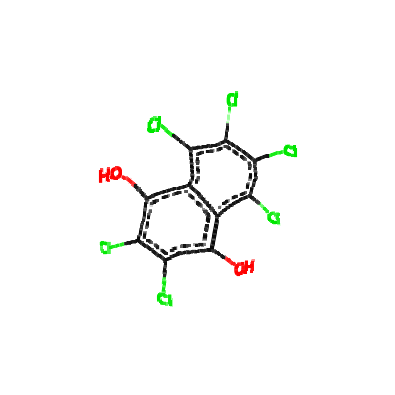 Oc1c(Cl)c(Cl)c(O)c2c(Cl)c(Cl)c(Cl)c(Cl)c12